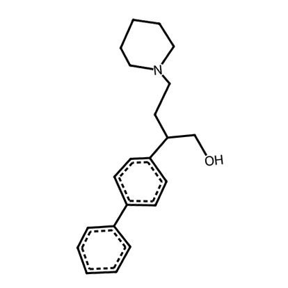 OCC(CCN1CCCCC1)c1ccc(-c2ccccc2)cc1